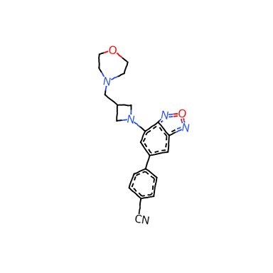 N#Cc1ccc(-c2cc(N3CC(CN4CCOCC4)C3)c3nonc3c2)cc1